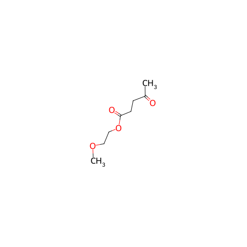 COCCOC(=O)CCC(C)=O